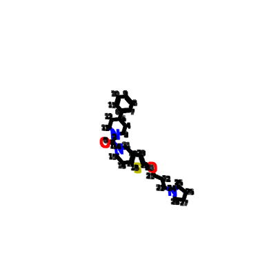 O=C(N1CCC(c2ccccc2)CC1)N1CCc2sc(OCCCN3CCCC3)cc2C1